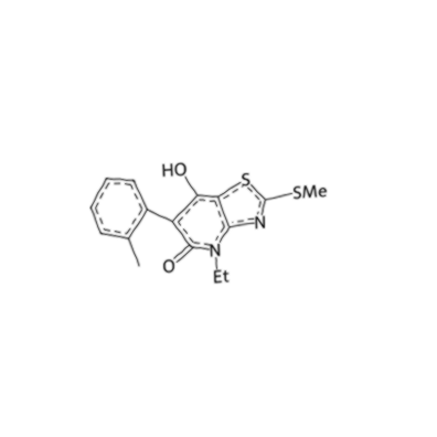 CCn1c(=O)c(-c2ccccc2C)c(O)c2sc(SC)nc21